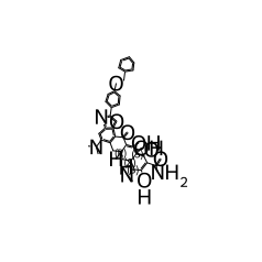 CN(C)c1cc2nc(-c3ccc(OCc4ccccc4)cc3)oc2c2c1C[C@H]1C[C@H]3[C@H](N(C)C)C(O)=C(C(N)=O)C(=O)[C@@]3(O)C(O)=C1C2=O